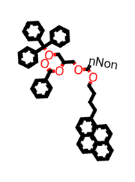 CCCCCCCCCC(OCCCCc1ccc2ccc3cccc4ccc1c2c34)OCC(COC(c1ccccc1)(c1ccccc1)c1ccccc1)OC(=O)c1ccccc1